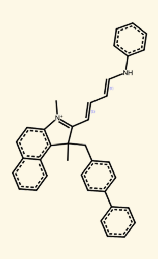 C[N+]1=C(/C=C/C=C/Nc2ccccc2)C(C)(Cc2ccc(-c3ccccc3)cc2)c2c1ccc1ccccc21